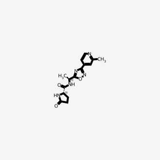 Cc1cc(-c2noc([C@H](C)NC(=O)[C@@H]3CCC(=O)N3)n2)ccn1